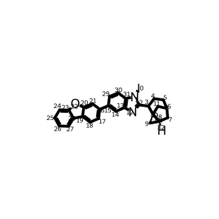 In1c(C2CCC3C[C@@H]4C[C@]24C3)nc2cc(-c3ccc4c(c3)oc3ccccc34)ccc21